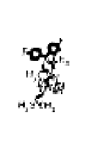 C[C@@H]1CN(c2nc3nncn3c3c2ncn3CCN(C)C)[C@@H](C)CN1C(c1ccc(F)cc1)c1ccc(F)cc1